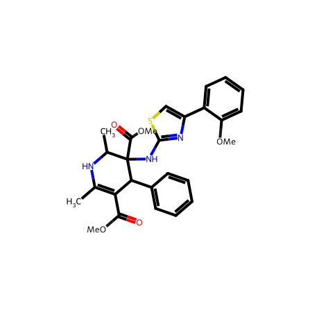 COC(=O)C1=C(C)NC(C)C(Nc2nc(-c3ccccc3OC)cs2)(C(=O)OC)C1c1ccccc1